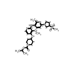 COc1c(OC2CCN(C(=O)OC(C)C)CC2)ccnc1Nc1ccc(N2CCC(S(C)(=O)=O)C2)nc1C